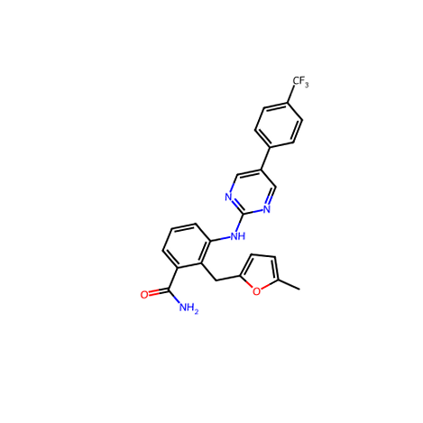 Cc1ccc(Cc2c(Nc3ncc(-c4ccc(C(F)(F)F)cc4)cn3)cccc2C(N)=O)o1